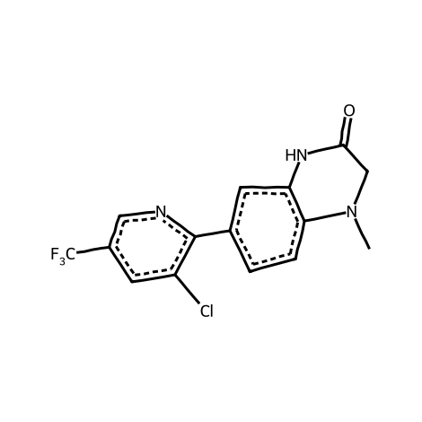 CN1CC(=O)Nc2cc(-c3ncc(C(F)(F)F)cc3Cl)ccc21